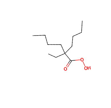 CCCCC(CC)(CCCC)C(=O)OO